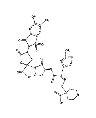 Nc1nc(/C(=N/OC2(C(=O)O)CCOCC2)C(=O)N[C@H]2CON(C3(C(=O)O)CC(N4C(=O)c5cc(O)c(O)cc5S4(=O)=O)C(=O)O3)C2=O)cs1